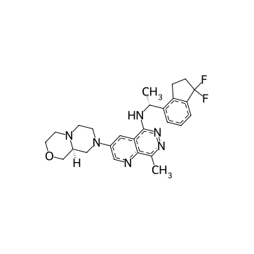 Cc1nnc(N[C@H](C)c2cccc3c2CCC3(F)F)c2cc(N3CCN4CCOC[C@@H]4C3)cnc12